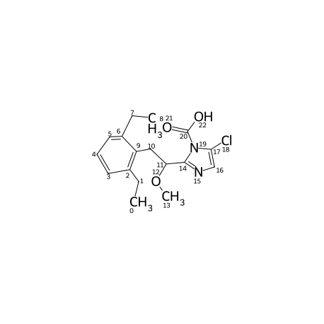 CCc1cccc(CC)c1CC(OC)c1ncc(Cl)n1C(=O)O